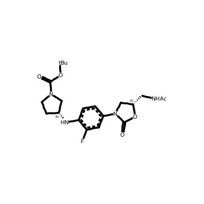 CC(=O)NC[C@H]1CN(c2ccc(N[C@@H]3CCN(C(=O)OC(C)(C)C)C3)c(F)c2)C(=O)O1